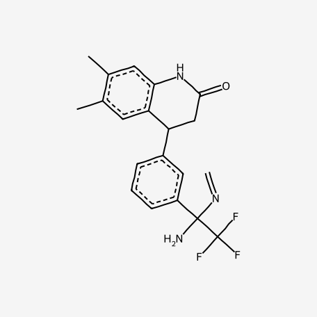 C=NC(N)(c1cccc(C2CC(=O)Nc3cc(C)c(C)cc32)c1)C(F)(F)F